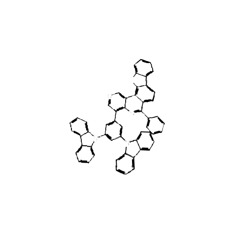 c1ccc(-c2nc3c(-c4cc(-n5c6ccccc6c6ccccc65)cc(-n5c6ccccc6c6ccccc65)c4)cncc3c3c2ccc2c4ccccc4oc23)cc1